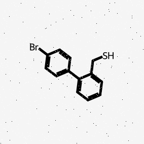 SCc1ccccc1-c1ccc(Br)cc1